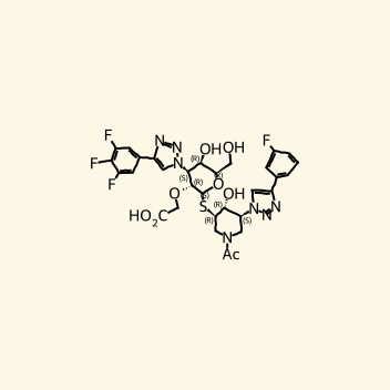 CC(=O)N1C[C@@H](S[C@@H]2O[C@H](CO)[C@H](O)[C@H](n3cc(-c4cc(F)c(F)c(F)c4)nn3)[C@H]2OCC(=O)O)[C@H](O)[C@@H](n2cc(-c3cccc(F)c3)nn2)C1